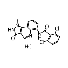 Cl.Cn1[nH]c(=O)c2cnc3c(NC(=O)c4c(Cl)cccc4Cl)cccc3c21